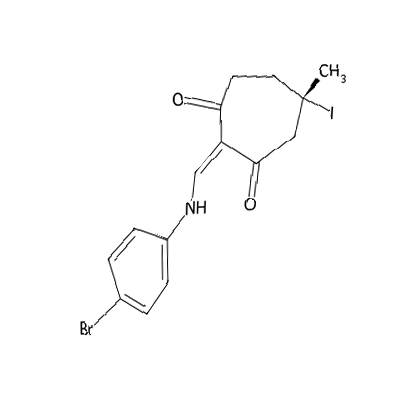 C[C@]1(I)CCC(=O)/C(=C/Nc2ccc(Br)cc2)C(=O)C1